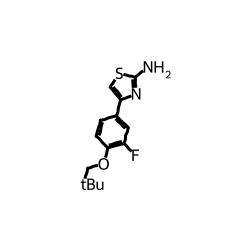 CC(C)(C)COc1ccc(-c2csc(N)n2)cc1F